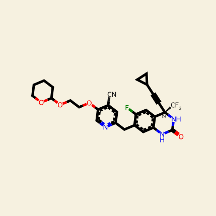 N#Cc1cc(Cc2cc3c(cc2F)[C@@](C#CC2CC2)(C(F)(F)F)NC(=O)N3)ncc1OCCOC1CCCCO1